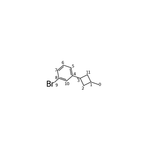 CC1C[C](c2cccc(Br)c2)C1